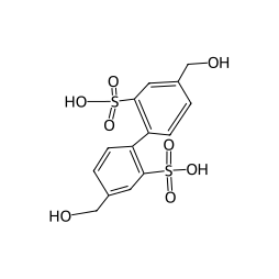 O=S(=O)(O)c1cc(CO)ccc1-c1ccc(CO)cc1S(=O)(=O)O